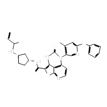 C=CC(O)N[C@@H]1CC[C@H](NC(=O)c2sc3nccc4c3c2NC(=O)N4c2cnc(Oc3ccccc3)cc2C)C1